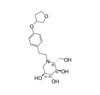 OC[C@@H]1[C@@H](O)[C@H](O)[C@@H](O)CN1CCc1ccc(OC2CCOC2)cc1